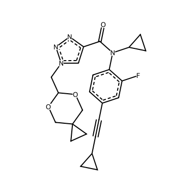 O=C(c1cn(CC2OCC3(CC3)CO2)nn1)N(c1ccc(C#CC2CC2)cc1F)C1CC1